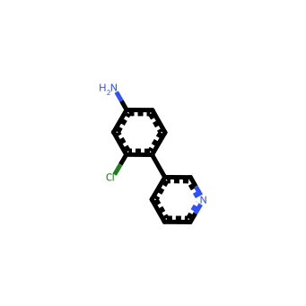 Nc1ccc(-c2cccnc2)c(Cl)c1